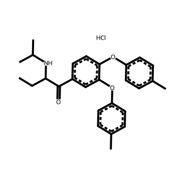 CCC(NC(C)C)C(=O)c1ccc(Oc2ccc(C)cc2)c(Oc2ccc(C)cc2)c1.Cl